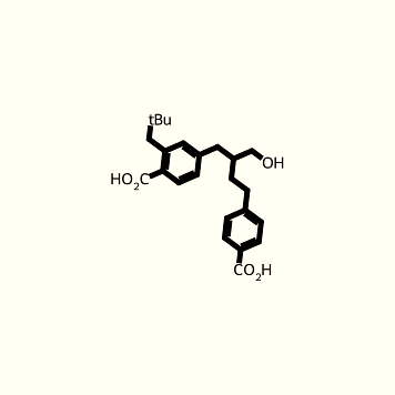 CC(C)(C)Cc1cc(CC(CO)CCc2ccc(C(=O)O)cc2)ccc1C(=O)O